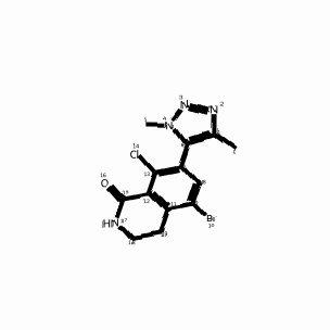 Cc1nnn(C)c1-c1cc(Br)c2c(c1Cl)C(=O)NCC2